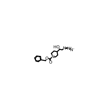 [N-]=[N+]=NC[C@@H](O)C1CCN(C(=O)OCc2ccccc2)CC1